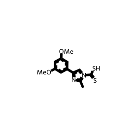 COc1cc(OC)cc(-c2cn(C(=S)S)c(C)n2)c1